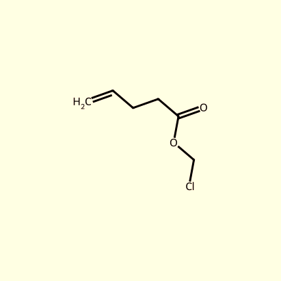 C=CCCC(=O)OCCl